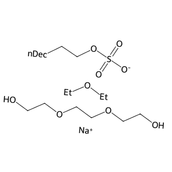 CCCCCCCCCCCCOS(=O)(=O)[O-].CCOCC.OCCOCCOCCO.[Na+]